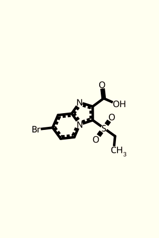 CCS(=O)(=O)c1c(C(=O)O)nc2cc(Br)ccn12